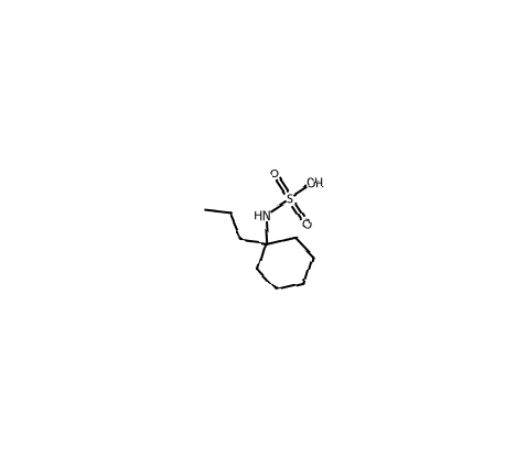 CCCC1(NS(=O)(=O)O)CCCCC1